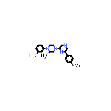 CSc1ccc(-c2cncc(N3CCN(c4cccc(C)c4)C(C)C3)n2)cc1